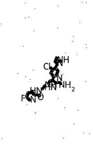 N=C1C(N)=Nc2cc(-c3cc[nH]n3)c(Cl)cc2/C1=C/NCCNC(=O)c1ccc(F)cn1